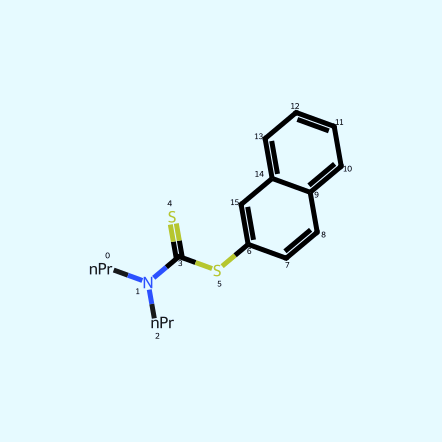 CCCN(CCC)C(=S)Sc1ccc2ccccc2c1